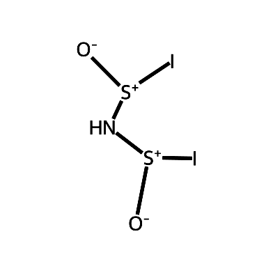 [O-][S+](I)N[S+]([O-])I